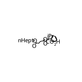 CCCCCCCOC(=O)CCC(=O)OC(C(=O)O)(c1ccccc1)C(C)C